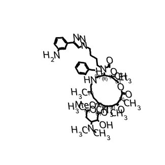 CC[C@@H]1OC(=O)[C@H](C)C(=O)[C@H](C)[C@@H](O[C@@H]2O[C@H](C)CC(N(C)C)C2O)[C@](C)(OC)C[C@@H](C)CN[C@H](Cc2ccccc2)[C@H]2N(CCCCn3cc(-c4cccc(N)c4)nn3)C(=O)O[C@]12C